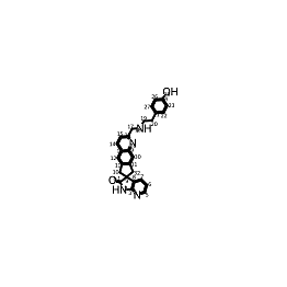 O=C1Nc2ncccc2C12Cc1cc3ccc(CNCCc4ccc(O)cc4)nc3cc1C2